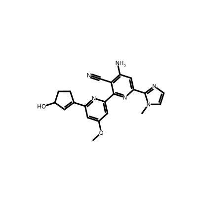 COc1cc(C2=CC(O)CC2)nc(-c2nc(-c3nccn3C)cc(N)c2C#N)c1